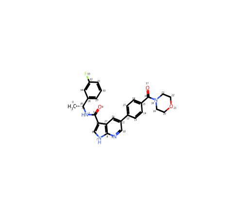 C[C@@H](NC(=O)c1c[nH]c2ncc(-c3ccc(C(=O)N4CCOCC4)cc3)cc12)c1cccc(F)c1